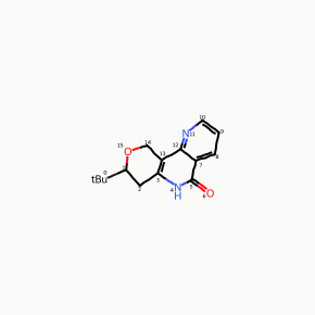 CC(C)(C)C1Cc2[nH]c(=O)c3cccnc3c2CO1